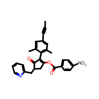 CC#Cc1cc(C)c(C2=C(OC(=O)c3ccc([N+](=O)[O-])cc3)CC(Cc3ccccn3)C2=O)c(C)c1